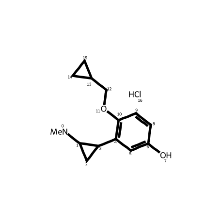 CNC1CC1c1cc(O)ccc1OCC1CC1.Cl